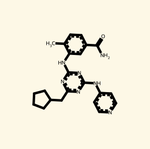 Cc1ccc(C(N)=O)cc1Nc1nc(CC2CCCC2)nc(Nc2ccncc2)n1